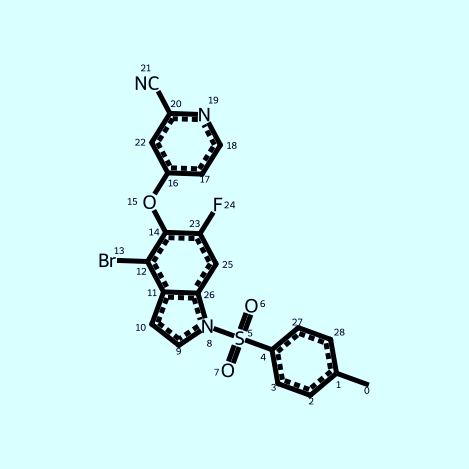 Cc1ccc(S(=O)(=O)n2ccc3c(Br)c(Oc4ccnc(C#N)c4)c(F)cc32)cc1